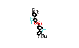 CCCCc1ccc(-c2ccc(C(=O)Oc3ccc(-c4ccc(CC)cc4)c(F)c3F)cc2)c(F)c1